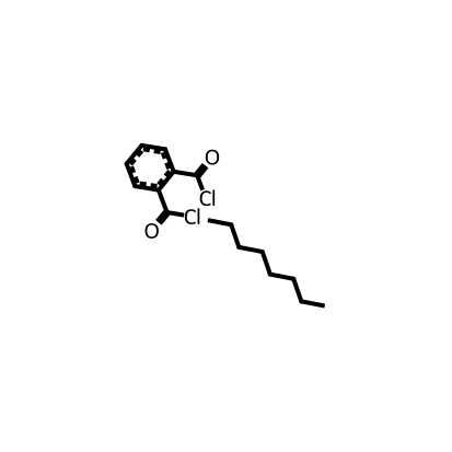 CCCCCCCC.O=C(Cl)c1ccccc1C(=O)Cl